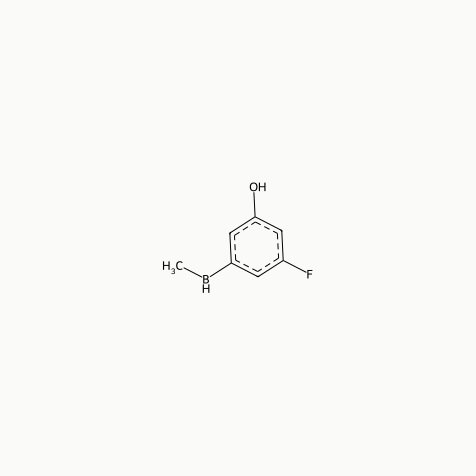 CBc1cc(O)cc(F)c1